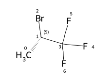 C[C@H](Br)C(F)(F)F